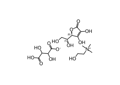 C[N+](C)(C)CCO.O=C([O-])C(O)C(O)C(=O)O.O=C1O[C@H]([C@@H](O)CO)C(O)=C1O